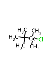 C[C](C)(C)[Ge]([CH3])([CH3])[Cl]